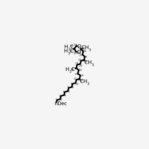 CCCCCCCCCCCCCCCCCCCCCC(C)CCCC(C)CCCC(C)CCCC1(C)OCC(C)(C)CO1